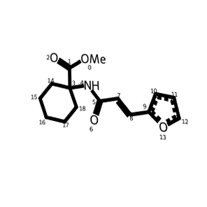 COC(=O)C1(NC(=O)C=Cc2ccco2)CCCCC1